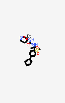 CCC1(NC(=O)NC(C)(C)C2(S(C)(=O)=O)C=CC(c3ccccc3)=CC2)CN2CCC1CC2